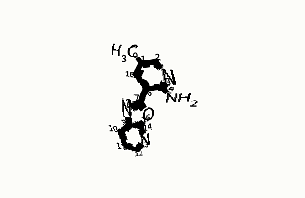 Cc1cnc(N)c(-c2nc3cccnc3o2)c1